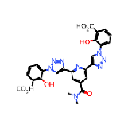 CN(C)C(=O)c1cc(-c2cn(-c3cccc(C(=O)O)c3O)nn2)nc(-c2cn(-c3cccc(C(=O)O)c3O)nn2)c1